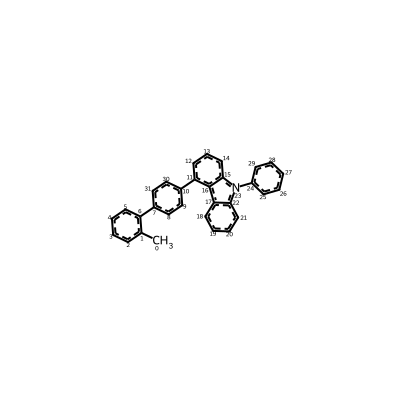 Cc1ccccc1-c1ccc(-c2cccc3c2c2ccccc2n3-c2ccccc2)cc1